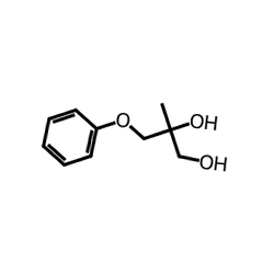 CC(O)(CO)COc1ccccc1